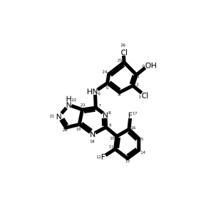 Oc1c(Cl)cc(Nc2nc(-c3c(F)cccc3F)nc3cn[nH]c23)cc1Cl